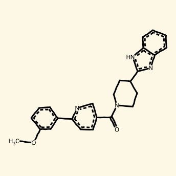 COc1cccc(-c2ccc(C(=O)N3CCC(c4nc5ccccc5[nH]4)CC3)cn2)c1